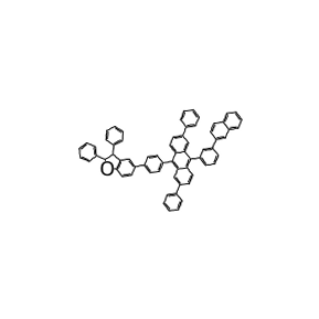 c1ccc(-c2ccc3c(-c4cccc(-c5ccc6ccccc6c5)c4)c4cc(-c5ccccc5)ccc4c(-c4ccc(-c5ccc6c(c5)C(c5ccccc5)C(c5ccccc5)O6)cc4)c3c2)cc1